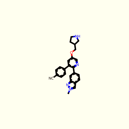 Cn1cc2ccc(-c3ncc(OCC4CCNC4)cc3-c3ccc(C#N)cc3)cc2n1